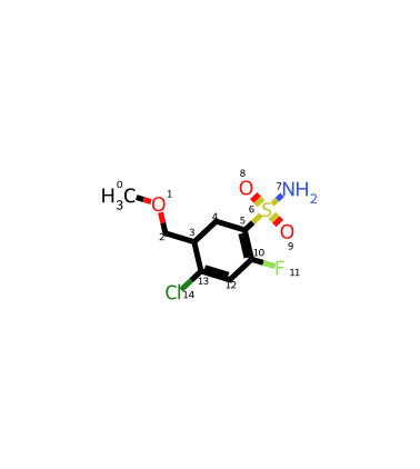 COCC1CC(S(N)(=O)=O)=C(F)C=C1Cl